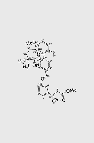 CCC[C@@H](CC(=O)OC)c1cccc(OCc2ccc(-c3cc(OC)ccc3F)c(C3(O)OCCCC3(C)C)c2)c1